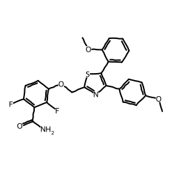 COc1ccc(-c2nc(COc3ccc(F)c(C(N)=O)c3F)sc2-c2ccccc2OC)cc1